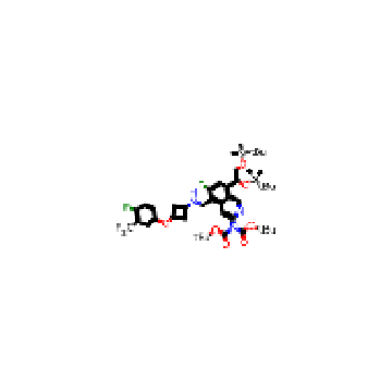 CC(C)(C)OC(=O)N(C(=O)OC(C)(C)C)c1cc2c(CNC3CC(Oc4ccc(F)c(C(F)(F)F)c4)C3)c(F)cc(C(CO[Si](C)(C)C(C)(C)C)O[Si](C)(C)C(C)(C)C)c2cn1